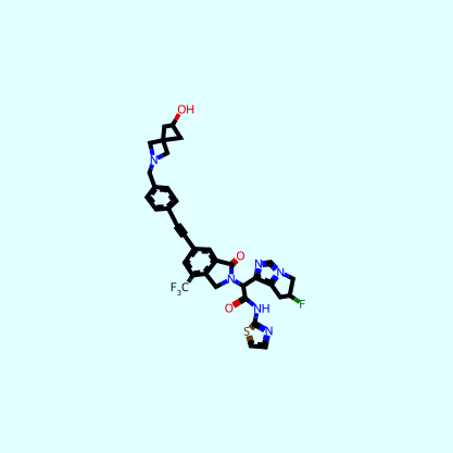 O=C(Nc1nccs1)C(c1ncn2c1CC(F)C2)N1Cc2c(cc(C#Cc3ccc(CN4CC5(CC(O)C5)C4)cc3)cc2C(F)(F)F)C1=O